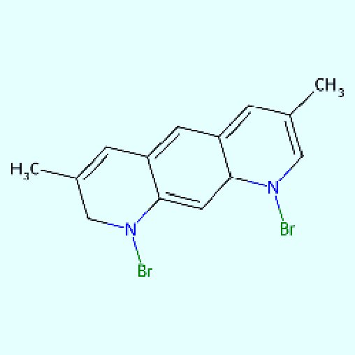 CC1=CN(Br)C2C=C3C(=CC2=C1)C=C(C)CN3Br